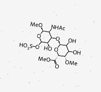 COC(=O)[C@@H]1O[C@@H](OC2C(NC(C)=O)[C@H](OC)OC(OS(=O)(=O)O)[C@@H]2O)C(O)C(O)[C@@H]1OC